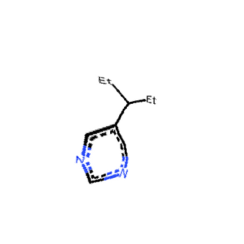 CCC(CC)c1cncnc1